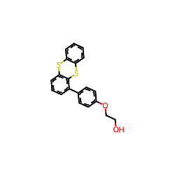 OCCOc1ccc(-c2cccc3c2Sc2ccccc2S3)cc1